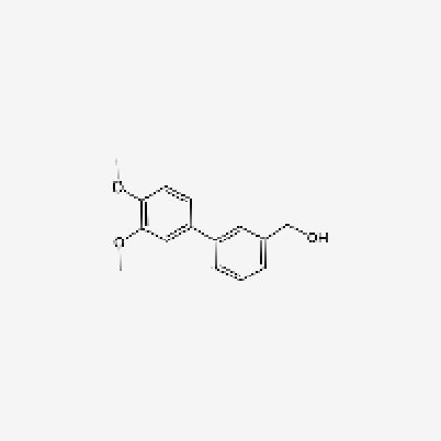 COc1ccc(-c2[c]ccc(CO)c2)cc1OC